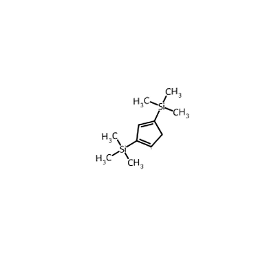 C[Si](C)(C)C1=[C]CC([Si](C)(C)C)=C1